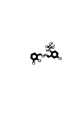 O=S(=O)(Nc1ccc(Cl)cc1/C=N/OCc1cccc(Cl)c1Cl)C(F)(F)F